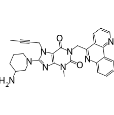 CC#CCn1c(N2CCCC(N)C2)nc2c1c(=O)n(Cc1nc3ccccc3c3ncccc13)c(=O)n2C